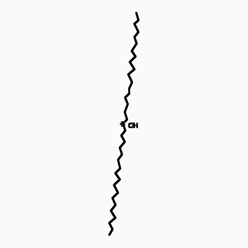 CCCCCCCCCCCCCCCCCC[B]CCCCCCCCCCCCCCCCCC.Cl